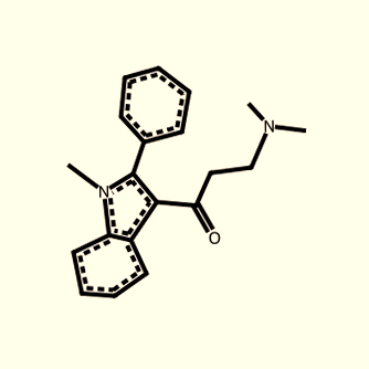 CN(C)CCC(=O)c1c(-c2ccccc2)n(C)c2ccccc12